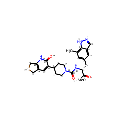 COC(=O)[C@@H](Cc1cc(C)c2[nH]ncc2c1)NC(=O)N1CCC(c2cc3c([nH]c2=O)CSC3)CC1